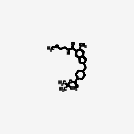 COCCNC(=O)c1cc2c(cc1C)=CC(CC1CCN(C(=O)OC(C)(C)C)CC1)C=2